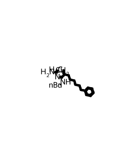 C=C(N)/N=C(NCCCC)\C(=C/C)CCCCCCc1ccccc1